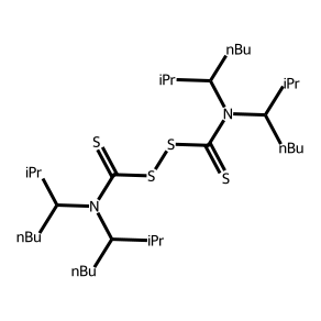 CCCCC(C(C)C)N(C(=S)SSC(=S)N(C(CCCC)C(C)C)C(CCCC)C(C)C)C(CCCC)C(C)C